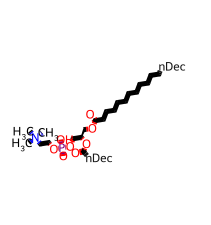 CCCCCCCCCCCCCCCCCCCCCC(=O)OC[C@H](COP(=O)(O)OCC[N+](C)(C)C)OC(=O)CCCCCCCCCC